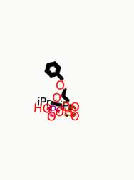 CC(C)C(OC(COCc1ccccc1)COS(C)(=O)=O)(C(C)C)P(=O)(O)O